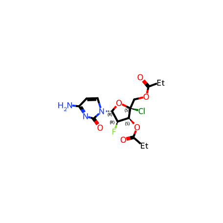 CCC(=O)OC[C@@]1(Cl)O[C@@H](n2ccc(N)nc2=O)[C@H](F)[C@@H]1OC(=O)CC